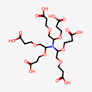 O=C(O)CCOCC(OCCC(=O)O)N(C(COCCC(=O)O)OCCC(=O)O)C(COCCC(=O)O)OCCC(=O)O